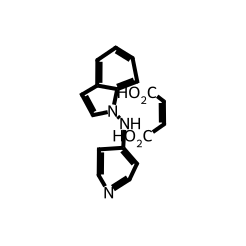 O=C(O)/C=C\C(=O)O.c1ccc2c(c1)ccn2Nc1ccncc1